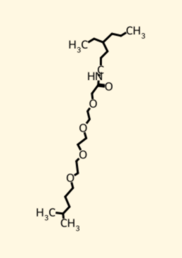 CCCC(CC)CCCNC(=O)COCCOCCOCCOCCCC(C)C